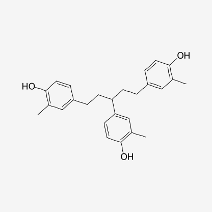 Cc1cc(CCC(CCc2ccc(O)c(C)c2)c2ccc(O)c(C)c2)ccc1O